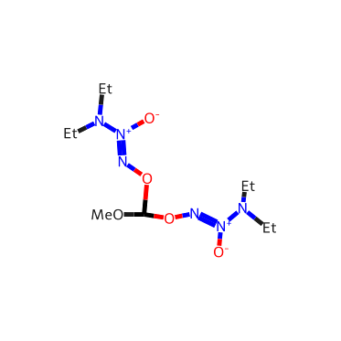 CCN(CC)[N+]([O-])=NOC(OC)ON=[N+]([O-])N(CC)CC